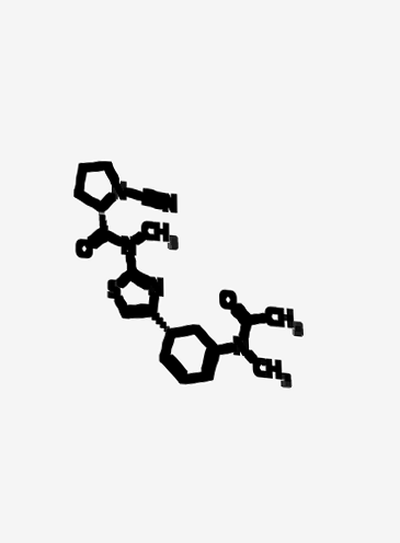 CC(=O)N(C)C1=CC=C[C@H](c2csc(N(C)C(=O)[C@@H]3CCCN3C#N)n2)C1